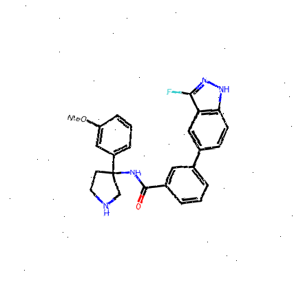 COc1cccc(C2(NC(=O)c3cccc(-c4ccc5[nH]nc(F)c5c4)c3)CCNC2)c1